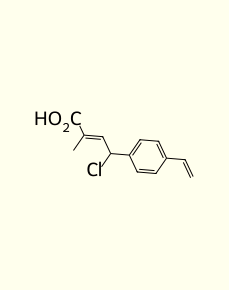 C=Cc1ccc(C(Cl)C=C(C)C(=O)O)cc1